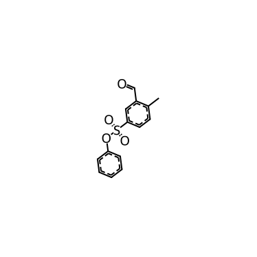 Cc1ccc(S(=O)(=O)Oc2ccccc2)cc1C=O